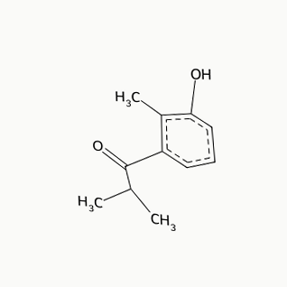 Cc1c(O)cccc1C(=O)C(C)C